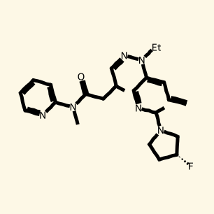 C=C/C=C(\C=N/C(C)N1CC[C@@H](F)C1)N(CC)/N=C\C(C)CC(=O)N(C)c1ccccn1